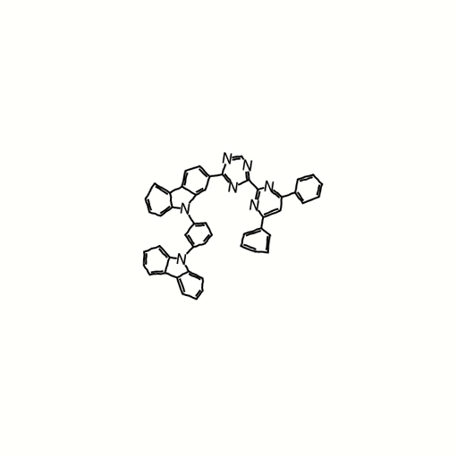 c1ccc(-c2cc(-c3ccccc3)nc(-c3ncnc(-c4ccc5c6ccccc6n(-c6cccc(-n7c8ccccc8c8ccccc87)c6)c5c4)n3)n2)cc1